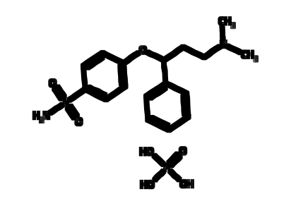 CN(C)CCC(Oc1ccc(S(N)(=O)=O)cc1)c1ccccc1.O=P(O)(O)O